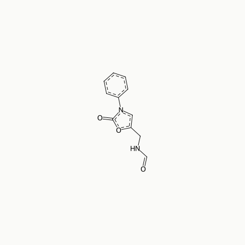 O=CNCc1cn(-c2ccccc2)c(=O)o1